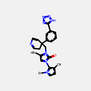 CCCCc1cn(-c2c(C#N)ccn2CC)c(=O)n1CC1(c2cccc(-c3nnn[nH]3)c2)C=CN=CC1